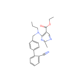 CCCN(Cc1ccc(-c2ccccc2C#N)cc1)c1nc(C)ncc1C(=O)OCC